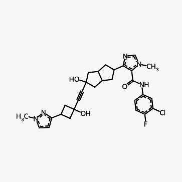 Cn1ccc(C2CC(O)(C#CC3(O)CC4CC(c5ncn(C)c5C(=O)Nc5ccc(F)c(Cl)c5)CC4C3)C2)n1